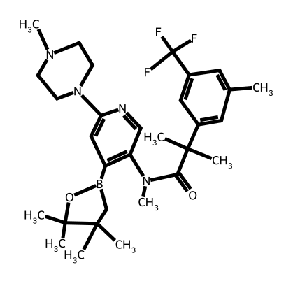 Cc1cc(C(F)(F)F)cc(C(C)(C)C(=O)N(C)c2cnc(N3CCN(C)CC3)cc2B2CC(C)(C)C(C)(C)O2)c1